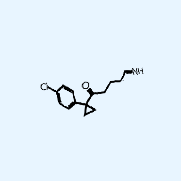 N=C[CH]CCC(=O)C1(c2ccc(Cl)cc2)CC1